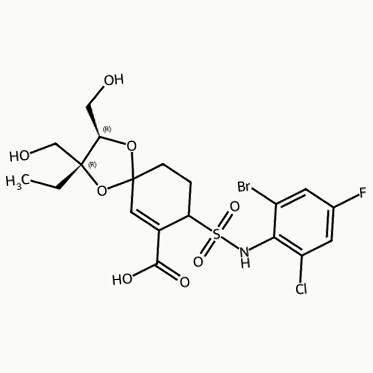 CC[C@]1(CO)OC2(C=C(C(=O)O)C(S(=O)(=O)Nc3c(Cl)cc(F)cc3Br)CC2)O[C@@H]1CO